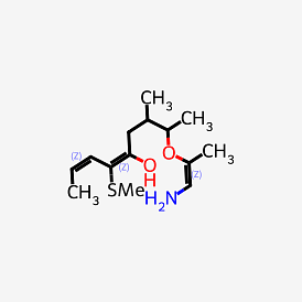 C/C=C\C(SC)=C(\O)CC(C)C(C)O/C(C)=C\N